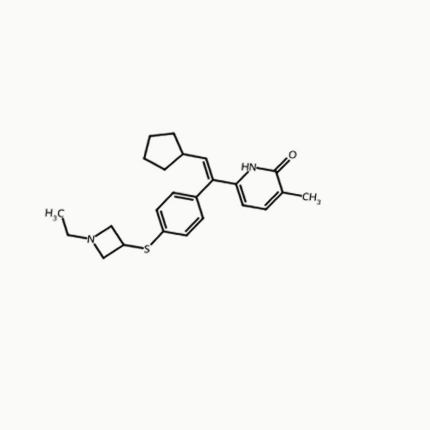 CCN1CC(Sc2ccc(/C(=C\C3CCCC3)c3ccc(C)c(=O)[nH]3)cc2)C1